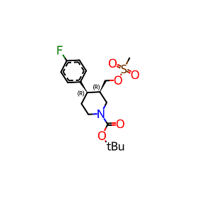 CC(C)(C)OC(=O)N1CC[C@@H](c2ccc(F)cc2)[C@@H](COS(C)(=O)=O)C1